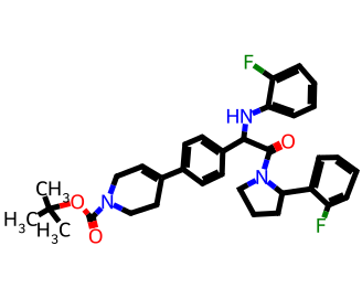 CC(C)(C)OC(=O)N1CC=C(c2ccc(C(Nc3ccccc3F)C(=O)N3CCCC3c3ccccc3F)cc2)CC1